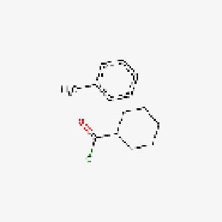 Cc1ccccc1.O=C(Cl)C1CCCCC1